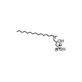 CCCCCCCCCCCCCCN(C)CC(O)CS(=O)(=O)O